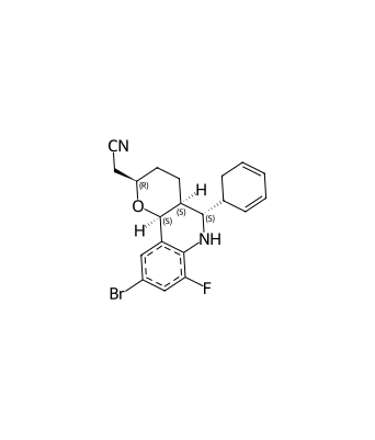 N#CC[C@H]1CC[C@@H]2[C@H](O1)c1cc(Br)cc(F)c1N[C@H]2C1C=CC=CC1